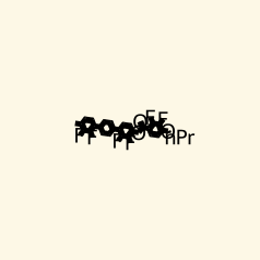 CCCOc1ccc(C(=O)Oc2ccc(C3=CCC(c4ccc(C)c(F)c4F)CC3)c(F)c2F)c(F)c1F